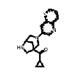 O=C(C1CC1)C12CNC(CN(c3cnc4cccnc4c3)C1)C2